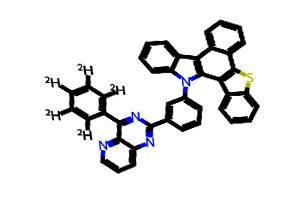 [2H]c1c([2H])c([2H])c(-c2nc(-c3cccc(-n4c5ccccc5c5c6ccccc6c6sc7ccccc7c6c54)c3)nc3cccnc23)c([2H])c1[2H]